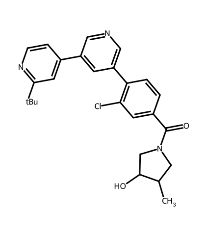 CC1CN(C(=O)c2ccc(-c3cncc(-c4ccnc(C(C)(C)C)c4)c3)c(Cl)c2)CC1O